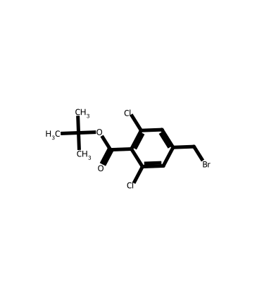 CC(C)(C)OC(=O)c1c(Cl)cc(CBr)cc1Cl